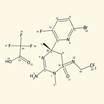 CN1C(N)=N[C@](C)(c2nc(Br)ccc2F)CS1(=O)=NCC(F)(F)F.O=C(O)C(F)(F)F